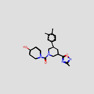 Cc1noc(C2CC(c3ccc(C)c(C)c3)CN(C(=O)N3CCC(O)CC3)C2)n1